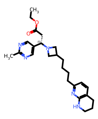 CCOC(=O)C[C@@H](c1cnc(C)nc1)N1CC(CCCCc2ccc3c(n2)NCCC3)C1